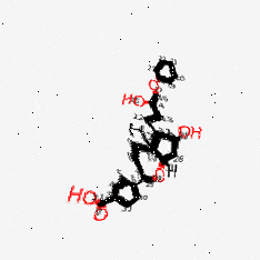 O=C(O)c1ccc([C@H]2CC[C@@H]3[C@@H](/C=C/[C@@H](O)COc4ccccc4)[C@H](O)C[C@@H]3OC2)cc1